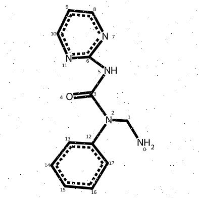 NCN(C(=O)Nc1ncccn1)c1ccccc1